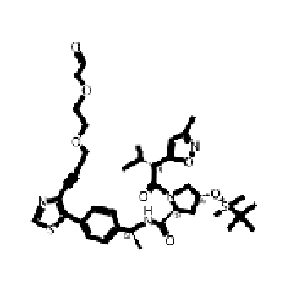 Cc1cc([C@H](C(=O)N2C[C@H](O[Si](C)(C)C(C)(C)C)C[C@H]2C(=O)N[C@@H](C)c2ccc(-c3scnc3C#CCOCCOCC=O)cc2)C(C)C)on1